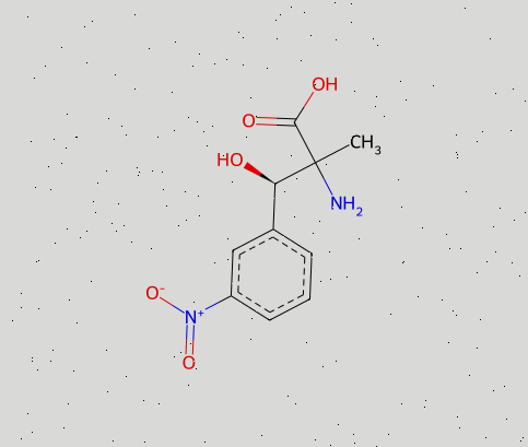 CC(N)(C(=O)O)[C@H](O)c1cccc([N+](=O)[O-])c1